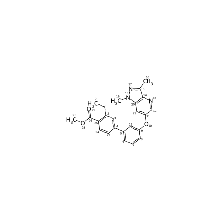 CCc1cc(-c2cccc(Oc3cnc4c(C)nn(C)c4c3)c2)ccc1C(=O)OC